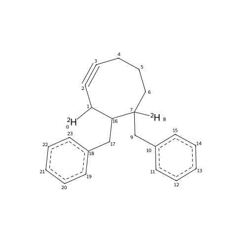 [2H]C1C#CCCCC([2H])(Cc2ccccc2)C1Cc1ccccc1